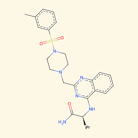 Cc1cccc(S(=O)(=O)N2CCN(Cc3nc(N[C@H](C(N)=O)C(C)C)c4ccccc4n3)CC2)c1